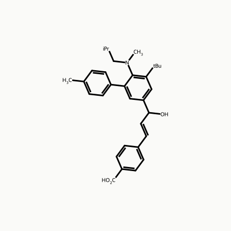 Cc1ccc(-c2cc(C(O)C=Cc3ccc(C(=O)O)cc3)cc(C(C)(C)C)c2N(C)CC(C)C)cc1